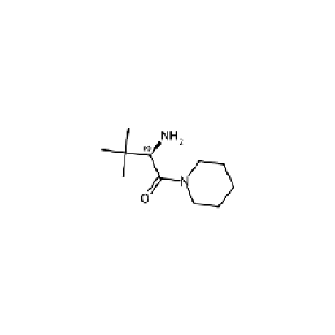 CC(C)(C)[C@@H](N)C(=O)N1CCCCC1